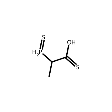 CC([PH2]=S)C(O)=S